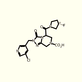 O=C(O)N1Cc2nn(Cc3cncc(Cl)c3)c(=O)n2C(C(=O)N2CC[C@H](F)C2)C1